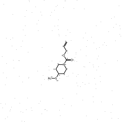 C=CCOC(=O)N1CCC(SC(C)=O)CC1